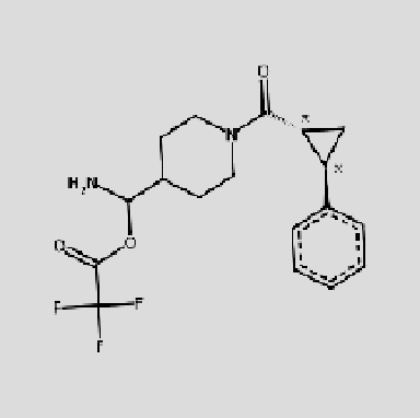 NC(OC(=O)C(F)(F)F)C1CCN(C(=O)[C@@H]2C[C@H]2c2ccccc2)CC1